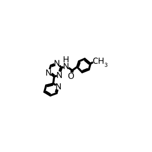 Cc1ccc(C(=O)Nc2ncnc(-c3ccccn3)n2)cc1